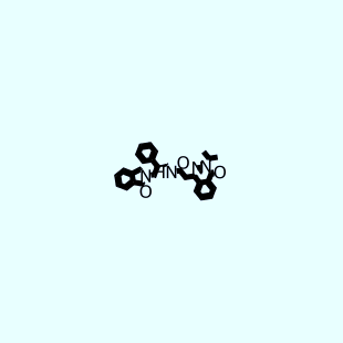 CC(C)n1nc(CC(=O)NC[C@@H](CN2Cc3ccccc3C2=O)c2ccccc2)c2ccccc2c1=O